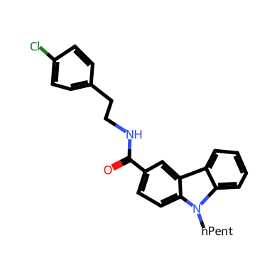 CCCCCn1c2ccccc2c2cc(C(=O)NCCc3ccc(Cl)cc3)ccc21